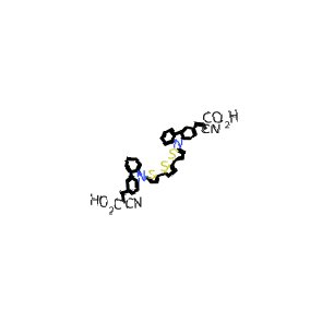 N#C/C(=C\c1ccc2c(c1)c1ccccc1n2-c1ccc(-c2ccc(-c3ccc(-n4c5ccccc5c5cc(/C=C(\C#N)C(=O)O)ccc54)s3)s2)s1)C(=O)O